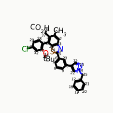 Cc1cc2nc(-c3cccc(-c4cnn(Cc5ccccc5)c4)c3)sc2c(-c2ccc(Cl)cc2OC(C)(C)C)c1CC(=O)O